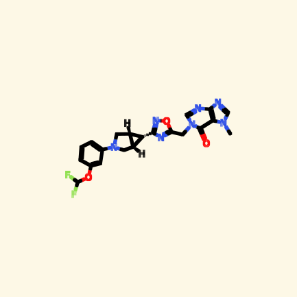 Cn1cnc2ncn(Cc3nc([C@@H]4[C@@H]5CN(c6cccc(OC(F)F)c6)C[C@@H]54)no3)c(=O)c21